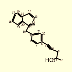 CC(O)CC#Cc1ccc(Cc2nccc3ccccc23)cc1